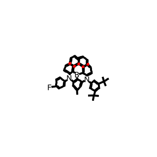 Cc1cc2c3c(c1)N(c1cc(C(C)(C)C)cc(C(C)(C)C)c1)c1cccc(-c4ccccc4)c1B3c1c(-c3ccccc3)cccc1N2c1ccc(F)cc1